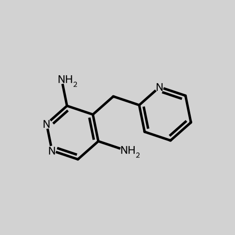 Nc1cnnc(N)c1Cc1ccccn1